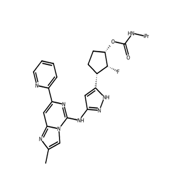 Cc1cn2c(Nc3cc([C@@H]4CC[C@H](OC(=O)NC(C)C)[C@@H]4F)[nH]n3)nc(-c3ccccn3)cc2n1